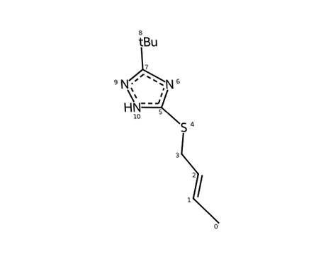 CC=CCSc1nc(C(C)(C)C)n[nH]1